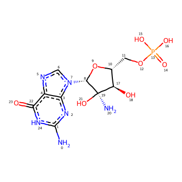 Nc1nc2c(ncn2[C@@H]2O[C@H](COP(=O)(O)O)[C@@H](O)[C@@]2(N)O)c(=O)[nH]1